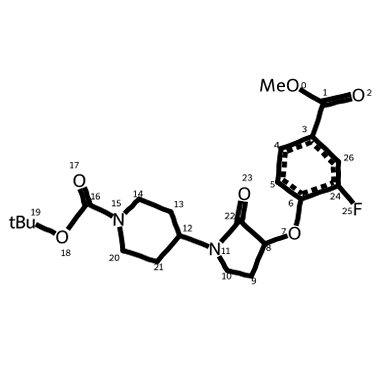 COC(=O)c1ccc(OC2CCN(C3CCN(C(=O)OC(C)(C)C)CC3)C2=O)c(F)c1